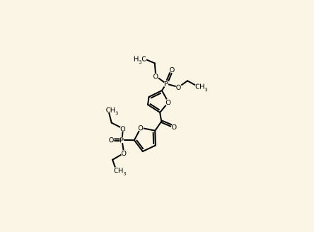 CCOP(=O)(OCC)c1ccc(C(=O)c2ccc(P(=O)(OCC)OCC)o2)o1